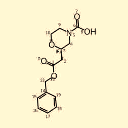 O=C(C[C@@H]1CN(C(=O)O)CCO1)OCc1ccccc1